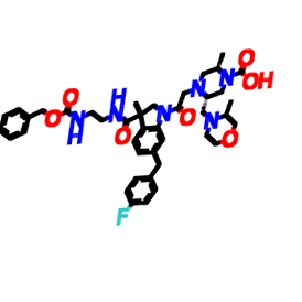 CC1COCCN1C[C@H]1CN(C(=O)O)[C@H](C)CN1CC(=O)N1CC(C)(C(=O)NCCNC(=O)OCc2ccccc2)c2ccc(Cc3ccc(F)cc3)cc21